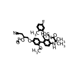 COc1cc(OCC(CC#N)OP=O)ccc1-c1ccc2c(c1COc1cc(F)ccc1C)N(C)C(=O)C(C)(C)N2